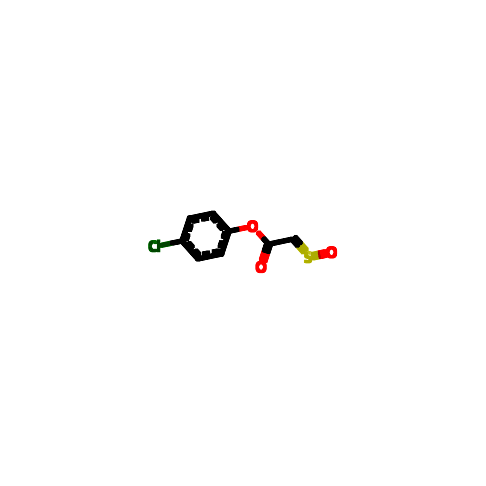 O=S=CC(=O)Oc1ccc(Cl)cc1